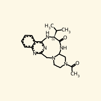 CC(=O)N1CCN2Cc3nc(c4ccccc4n3)N[C@@H](C(C)C)C(=O)NC2C1